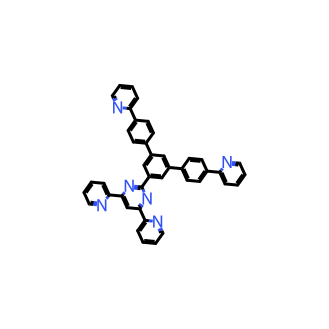 c1ccc(-c2ccc(-c3cc(-c4ccc(-c5ccccn5)cc4)cc(-c4nc(-c5ccccn5)cc(-c5ccccn5)n4)c3)cc2)nc1